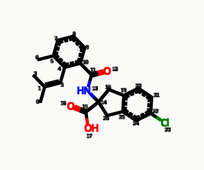 CC(C)=Cc1c(C)cccc1C(=O)NC1(C(=O)O)Cc2ccc(Cl)cc2C1